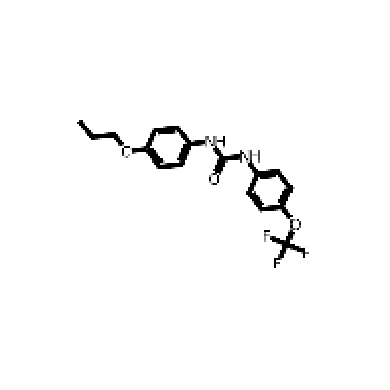 CCCOc1ccc(NC(=O)Nc2ccc(OC(F)(F)F)cc2)cc1